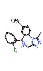 Cc1nnc2n1-c1ccc(N=O)cc1C(c1ccccc1Cl)=NC2